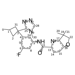 CC1CC(c2cc(F)cc(NC(=O)c3ccc4c(n3)C(C)(C)CO4)c2)(c2nncn2C)C1